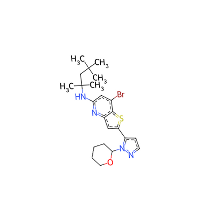 CC(C)(C)CC(C)(C)Nc1cc(Br)c2sc(-c3ccnn3C3CCCCO3)cc2n1